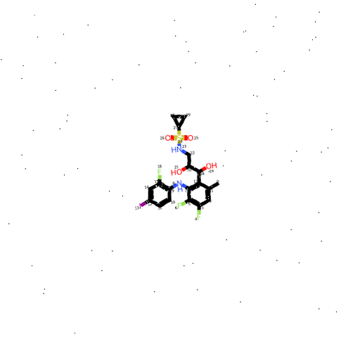 Cc1cc(F)c(F)c(Nc2ccc(I)cc2F)c1C(O)C(O)CNS(=O)(=O)C1CC1